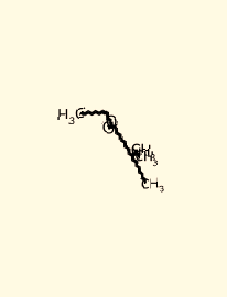 CCCCCC/C=C\COC(=O)CCCCCCCCC(CCCCCCCCC)N(C)C